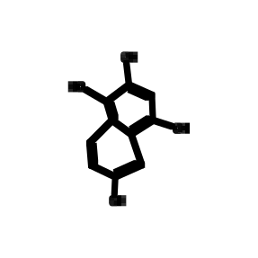 Oc1ccc2c(O)c(O)cc(O)c2c1